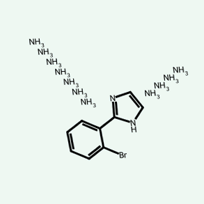 Brc1ccccc1-c1ncc[nH]1.N.N.N.N.N.N.N.N.N.N.N